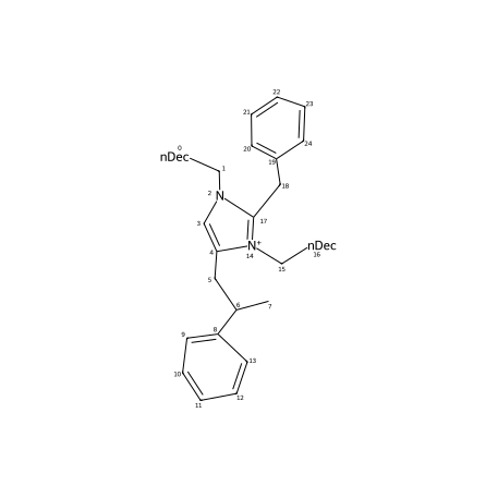 CCCCCCCCCCCn1cc(CC(C)c2ccccc2)[n+](CCCCCCCCCCC)c1Cc1ccccc1